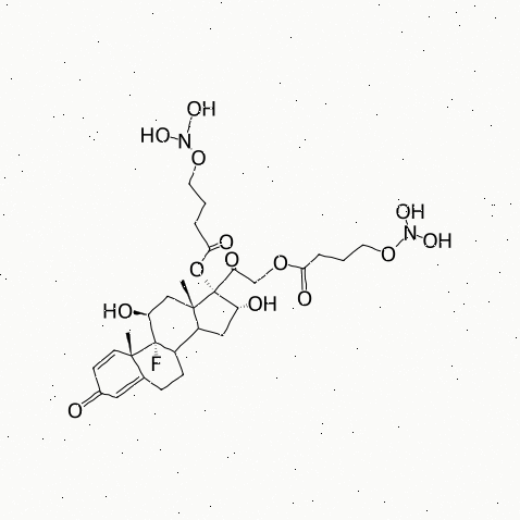 C[C@]12C=CC(=O)C=C1CCC1C3C[C@@H](O)[C@](OC(=O)CCCON(O)O)(C(=O)COC(=O)CCCON(O)O)[C@@]3(C)C[C@H](O)[C@@]12F